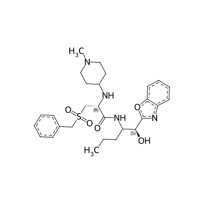 CCCC(NC(=O)[C@H](CS(=O)(=O)Cc1ccccc1)NC1CCN(C)CC1)[C@H](O)c1nc2ccccc2o1